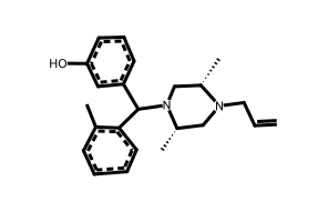 C=CCN1C[C@H](C)N(C(c2cccc(O)c2)c2ccccc2C)C[C@@H]1C